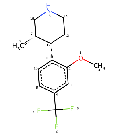 COc1cc(C(F)(F)F)ccc1[C@H]1CCNC[C@H]1C